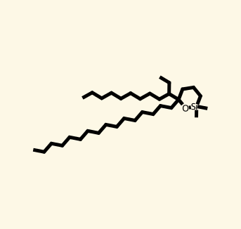 CCCCCCCCCCCCCCCCC1(C(CC)CCCCCCCCC)CCC[Si](C)(C)O1